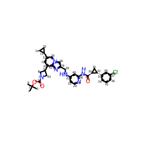 CC(C)(C)OC(=O)N1CC(c2cc(C3CC3)cn3cc(CNc4ccnc(NC(=O)[C@H]5C[C@@H]5c5cccc(Cl)c5)c4)nc23)C1